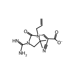 C=CC[N+]1(C=C(C#N)C(=O)[O-])C(=O)N(C(=N)N)CC1(C)C